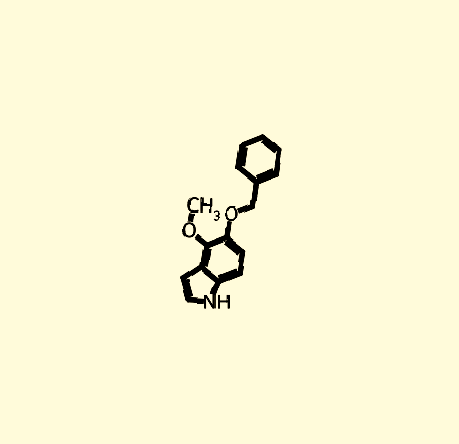 COc1c(OCc2ccccc2)ccc2[nH]ccc12